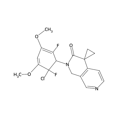 COC1=CC(OC)=C(F)C(N2Cc3cnccc3C3(CC3)C2=O)C1(F)Cl